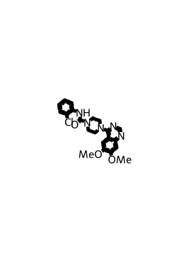 COc1cc2ncnc(N3CCN(C(=O)Nc4ccccc4Cl)CC3)c2cc1OC